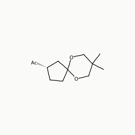 CC(=O)[C@H]1CCC2(C1)OCC(C)(C)CO2